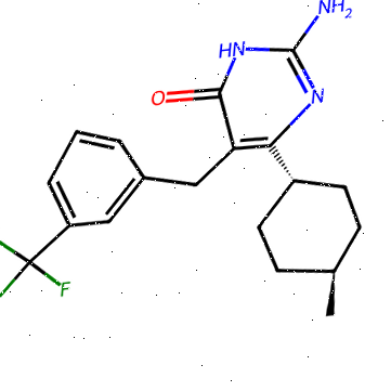 C[C@H]1CC[C@H](c2nc(N)[nH]c(=O)c2Cc2cccc(C(F)(F)F)c2)CC1